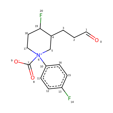 O=CCCC1C[N+](C(=O)[O-])(c2ccc(F)cc2)CCC1F